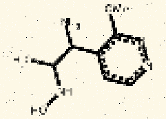 COc1nnccc1C(N)C(C)NO